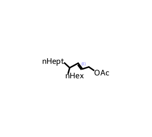 CCCCCCCC(/C=C/COC(C)=O)CCCCCC